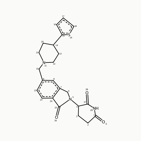 O=C1CCC(N2Cc3cc(CN4CCC(c5cccs5)CC4)ccc3C2=O)C(=O)N1